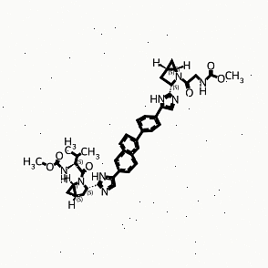 COC(=O)NCC(=O)N1[C@H](c2ncc(-c3ccc(-c4ccc5cc(-c6cnc([C@@H]7C[C@@H]8C[C@@H]8N7C(=O)[C@@H](NC(=O)OC)C(C)C)[nH]6)ccc5c4)cc3)[nH]2)C[C@@H]2C[C@@H]21